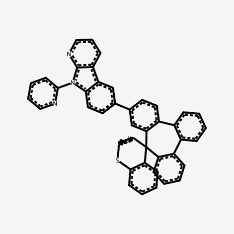 c1ccc(-n2c3ccc(-c4ccc5c(c4)C4(c6ccccc6Sc6ccccc64)c4ccccc4-c4ccccc4-5)cc3c3cccnc32)nc1